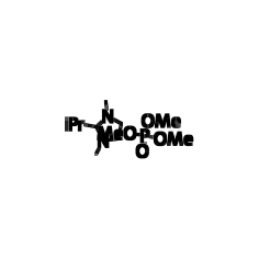 CC(C)C1N(C)CCN1C.COP(=O)(OC)OC